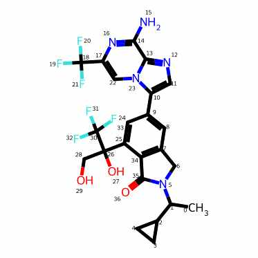 CC(C1CC1)N1Cc2cc(-c3cnc4c(N)nc(C(F)(F)F)cn34)cc(C(O)(CO)C(F)(F)F)c2C1=O